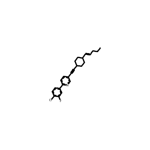 CCC/C=C/C1CCC(C#Cc2ccc(-c3ccc(Cl)c(F)c3)nc2)CC1